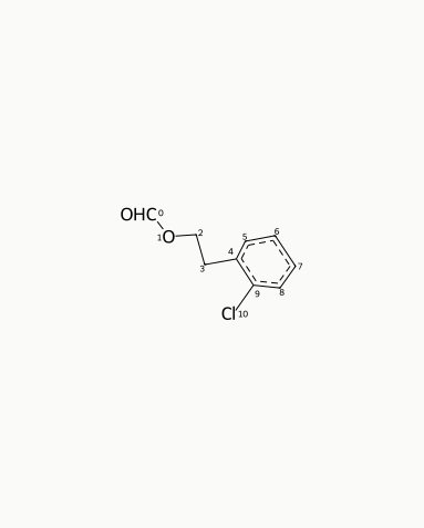 O=COCCc1ccccc1Cl